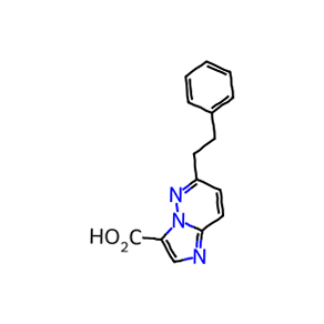 O=C(O)c1cnc2ccc(CCc3ccccc3)nn12